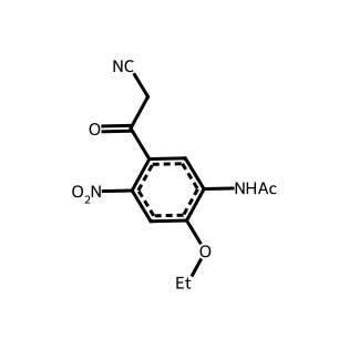 CCOc1cc([N+](=O)[O-])c(C(=O)CC#N)cc1NC(C)=O